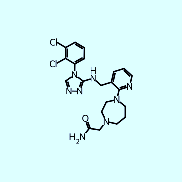 NC(=O)CN1CCCN(c2ncccc2CNc2nncn2-c2cccc(Cl)c2Cl)CC1